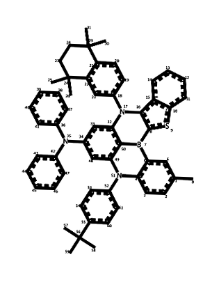 Cc1ccc2c(c1)B1c3sc4ccccc4c3N(c3ccc4c(c3)C(C)(C)CCC4(C)C)c3cc(N(c4ccccc4)c4ccccc4)cc(c31)N2c1ccc(C(C)(C)C)cc1